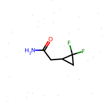 NC(=O)CC1CC1(F)F